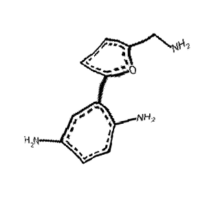 NCc1ccc(-c2cc(N)ccc2N)o1